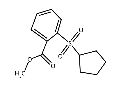 COC(=O)c1ccccc1S(=O)(=O)C1CCCC1